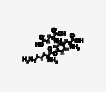 NCCCC[C@H](N)C(=O)Oc1ccc(C[C@H](N)C(=O)O)cc1.N[C@@H](CCC(=O)O)C(=O)O